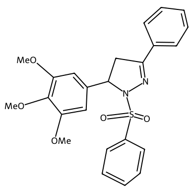 COc1cc(C2CC(c3ccccc3)=NN2S(=O)(=O)c2ccccc2)cc(OC)c1OC